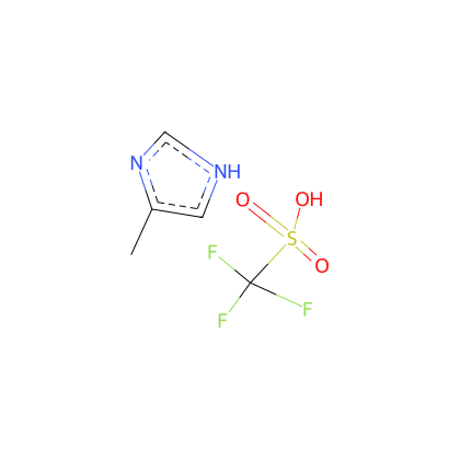 Cc1c[nH]cn1.O=S(=O)(O)C(F)(F)F